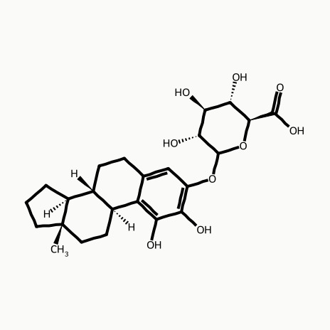 C[C@@]12CCC[C@H]1[C@@H]1CCc3cc(OC4O[C@H](C(=O)O)[C@@H](O)[C@H](O)[C@H]4O)c(O)c(O)c3[C@H]1CC2